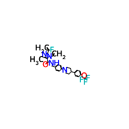 C=Cn1c(C(=C)F)nc(C)c1C(=O)NCc1ccc(N2CCC(c3ccc(OC(F)(F)F)cc3)CC2)cc1